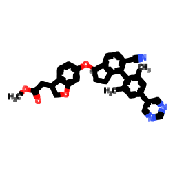 COC(=O)CC1COc2cc(O[C@@H]3CCc4c3ccc(C#N)c4-c3c(C)cc(-c4cncnc4)cc3C)ccc21